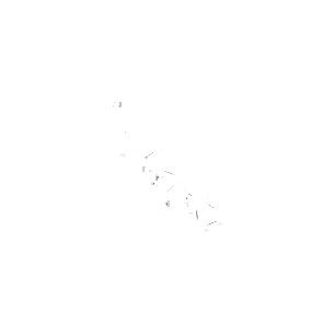 NCCCC[C@H](N)C(=O)Nc1ccc(N=Nc2ccccc2)c(N)n1